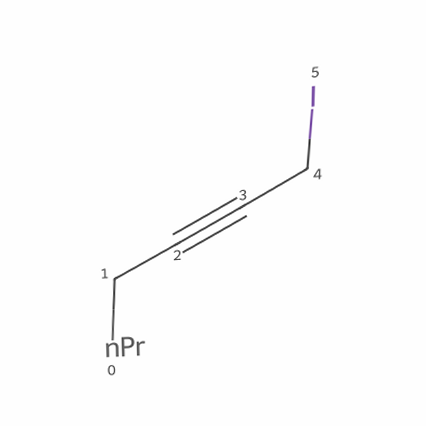 CCCCC#CCI